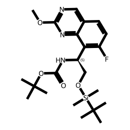 COc1ncc2ccc(F)c([C@@H](CO[Si](C)(C)C(C)(C)C)NC(=O)OC(C)(C)C)c2n1